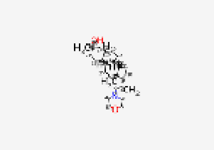 C=C(CN1CCOCC1)[C@H]1CC[C@H]2[C@@H]3CC[C@H]4C[C@](C)(O)CC[C@@H]4[C@H]3CC[C@]12C